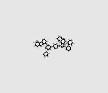 c1ccc(-c2nc(-c3ccc(-n4nc(-c5ccccc5)c5c(-c6ccccc6)cc6ccccc6c54)cc3)nc(-c3cccc4c3sc3ccccc34)n2)cc1